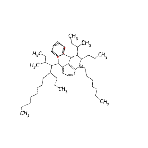 [Li][c]1cccc(C(c2ccccc2)C(C(C)CC)C(CCC)CCCCCCCC)c1[C](c1ccccc1)C(C(C)CC)C(CCC)CCCCCCCC